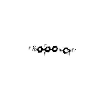 CCC[SiH]1CCC(CC[C@H]2CC[C@H](c3cc(F)c(-c4ccc(OC(F)(F)F)cc4)c(F)c3)CC2)CC1